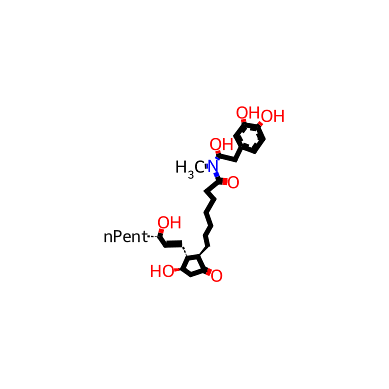 CCCCC[C@H](O)/C=C/[C@H]1[C@H](O)CC(=O)[C@@H]1CCCCCCC(=O)N(C)C(O)Cc1ccc(O)c(O)c1